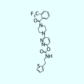 O=C(NCCc1cccs1)Oc1ccc(N2CCN(C(=O)c3ccccc3C(F)(F)F)CC2)nn1